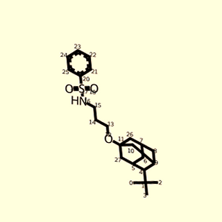 CC(C)(C)C1C2CC3CC1CC(OCCCNS(=O)(=O)c1ccccc1)(C3)C2